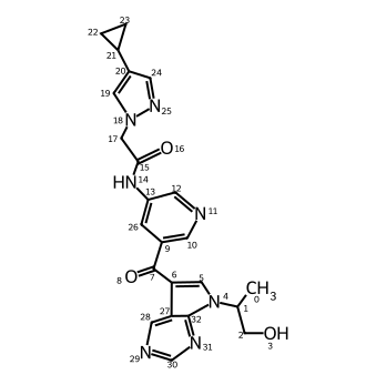 CC(CO)n1cc(C(=O)c2cncc(NC(=O)Cn3cc(C4CC4)cn3)c2)c2cncnc21